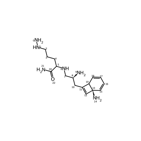 NNCCCC(NC[C@@H](N)CC1=C[C@@]2(N)C=CC=CC12)C(N)=O